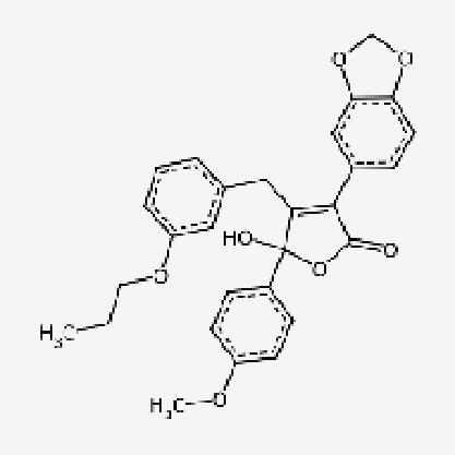 CCCOc1cccc(CC2=C(c3ccc4c(c3)OCO4)C(=O)OC2(O)c2ccc(OC)cc2)c1